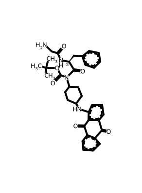 CC(C)(C)OC(=O)N(C(=O)[C@H](Cc1ccccc1)NC(=O)CN)C1CCC(Nc2cccc3c2C(=O)c2ccccc2C3=O)CC1